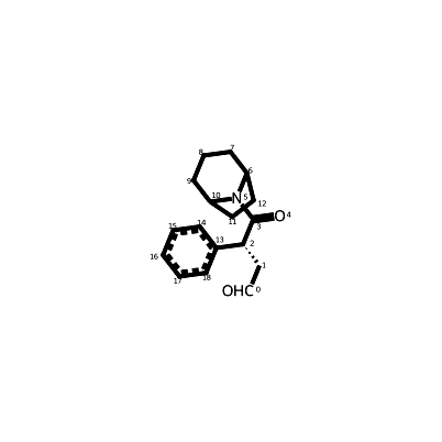 O=CC[C@@H](C(=O)N1C2CCCC1CC2)c1ccccc1